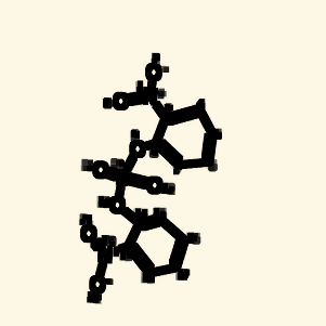 O=[N+]([O-])c1ccccc1OS(=O)(=O)Oc1ccccc1[N+](=O)[O-]